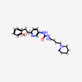 O=C(NCCCCN1CCCCC1)Nc1ccc(C2Cc3ccccc3O2)nc1